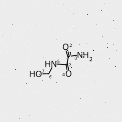 NC(=O)C(=O)NCO